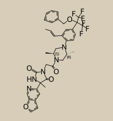 CC=Cc1cc(C(OCc2ccccc2)(C(F)(F)F)C(F)(F)F)ccc1N1C[C@H](C)N(C(=O)CN2C(=O)NC(C)(c3cc4ccoc4cn3)C2=O)C[C@H]1C